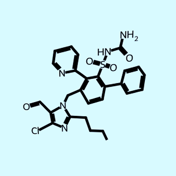 CCCCc1nc(Cl)c(C=O)n1Cc1ccc(-c2ccccc2)c(S(=O)(=O)NC(N)=O)c1-c1ccccn1